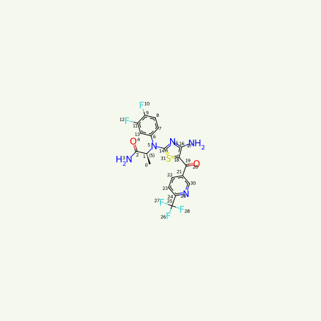 C[C@@H](C(N)=O)N(c1ccc(F)c(F)c1)c1nc(N)c(C(=O)c2ccc(C(F)(F)F)nc2)s1